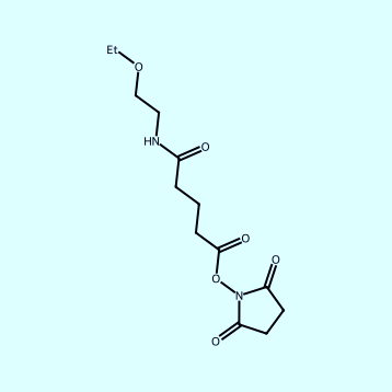 CCOCCNC(=O)CCCC(=O)ON1C(=O)CCC1=O